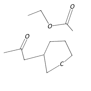 CC(=O)CC1CCCCC1.CCOC(C)=O